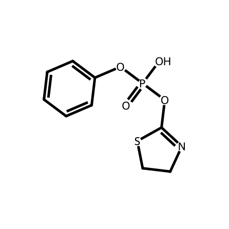 O=P(O)(OC1=NCCS1)Oc1ccccc1